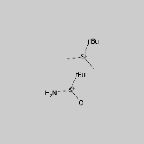 CC(C)(C)[S+](N)[O-].CCCC[Si](C)C